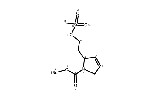 CC(C)(C)OC(=O)N1CC=CC1CCOS(C)(=O)=O